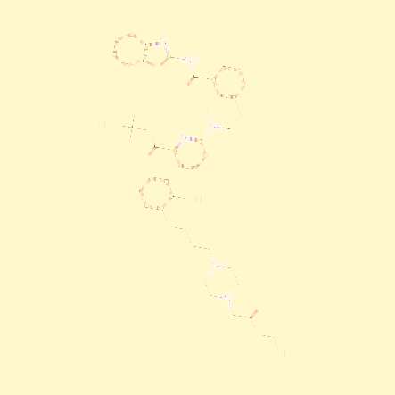 CCOC(=O)CN1CCN(CCCOc2cccc(-c3ccc(N4CCc5cccc(C(=O)Nc6nc7ccccc7s6)c5C4)nc3C(=O)OC(C)(C)C)c2C)CC1